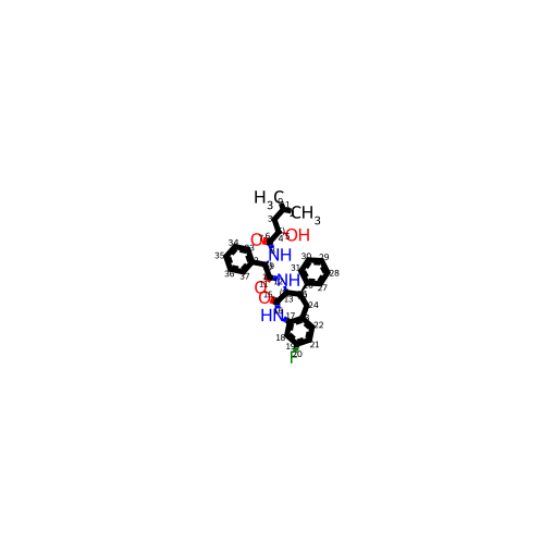 CC(C)C[C@H](O)C(=O)N[C@H](C(=O)N[C@@H]1C(=O)Nc2cc(F)ccc2C[C@@H]1c1ccccc1)c1ccccc1